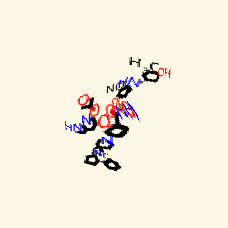 CC(C)c1ccccc1[C@@H]1CCC[C@@H]1N1CC2(CCN(c3ccc(C(=O)NS(=O)(=O)c4ccc(NC[C@H]5CC[C@](C)(O)CC5)c(N=O)c4)c(Oc4cc5cc[nH]c5nc4OC4COC4)c3)CC2)C1